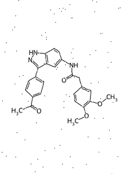 COc1ccc(CC(=O)Nc2ccc3[nH]nc(-c4ccc(C(C)=O)cc4)c3c2)cc1OC